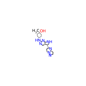 C[C@]1(O)CC[C@H](Nc2ncc3c(-c4ccn5nccc5n4)c[nH]c3n2)CC1